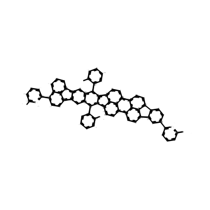 Cc1cccc(-c2ccc3c(c2)-c2ccc4c5ccc6c7c(-c8ccccc8C)c8cc9c(cc8c(-c8ccccc8C)c7c7ccc(c8ccc-3c2c84)c5c76)c2cccc3c(-c4cccc(C)n4)ccc9c32)n1